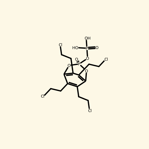 O=P(O)(O)OP1(=O)Oc2c(CCCl)c(CCCl)c(c(CCCl)c2CCCl)O1